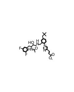 COC(=O)C=Cc1cn(-c2ccc(CC(C)(C)C)cc2CNCC(O)C(Cc2cc(F)cc(F)c2)NC(C)=O)cn1